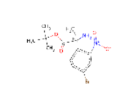 CC(C)(C)OC(=O)[C@@](C)(N)c1ccc(Br)cc1[N+](=O)[O-]